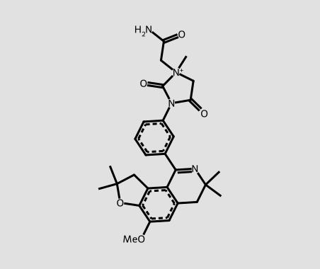 COc1cc2c(c3c1OC(C)(C)C3)C(c1cccc(N3C(=O)C[N+](C)(CC(N)=O)C3=O)c1)=NC(C)(C)C2